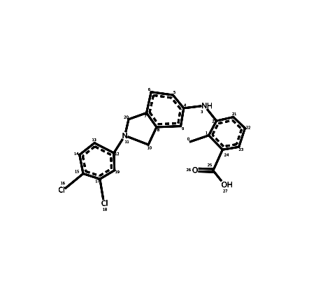 Cc1c(Nc2ccc3c(c2)CN(c2ccc(Cl)c(Cl)c2)C3)cccc1C(=O)O